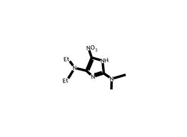 CCN(CC)c1nc(N(C)C)[nH]c1[N+](=O)[O-]